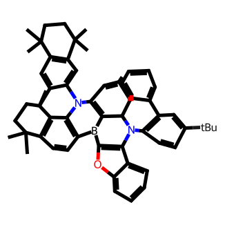 CC1=CC2=C3B(c4ccc5c6c4N2c2cc4c(cc2C6(C)CCC5(C)C)C(C)(C)CCC4(C)C)c2oc4ccccc4c2N(c2ccc(C(C)(C)C)cc2-c2ccccc2)C3C1